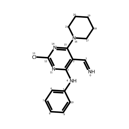 N=Cc1c(Nc2ccccc2)nc(Cl)nc1N1CCCCC1